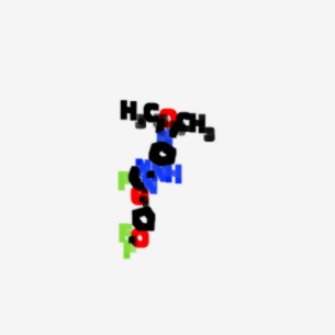 C[C@@H]1CN(c2ccc(Nc3ncc(F)c(OC[C@H]4CC[C@H](OC(F)F)CC4)n3)cc2)C[C@H](C)O1